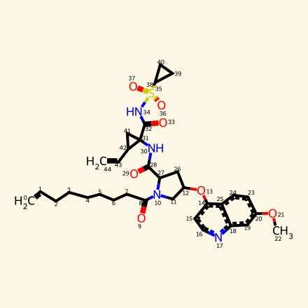 C=CCCCCCCC(=O)N1CC(Oc2ccnc3cc(OC)ccc23)CC1C(=O)NC1(C(=O)NS(=O)(=O)C2CC2)CC1C=C